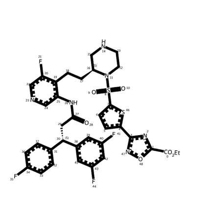 CCOC(=O)c1nc(-c2ccc(S(=O)(=O)N3CCNC[C@@H]3CCc3c(F)cncc3NC(=O)C[C@@H](c3ccc(F)cc3)c3cc(F)cc(F)c3)s2)no1